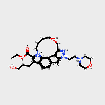 CCOC(=O)c1c(CCCO)c2ccc(C)c3c2n1CCCCOCc1nn(CCN2CCOCC2)c(C)c1-3